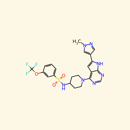 Cn1cc(-c2cc3c(N4CCC(NS(=O)(=O)c5cccc(OC(F)(F)F)c5)CC4)ncnc3[nH]2)cn1